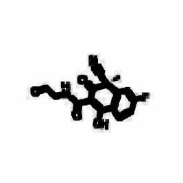 C[C@@]1(C#N)C(=O)C(C(=O)NCC=O)=C(O)c2ccc(F)cc21